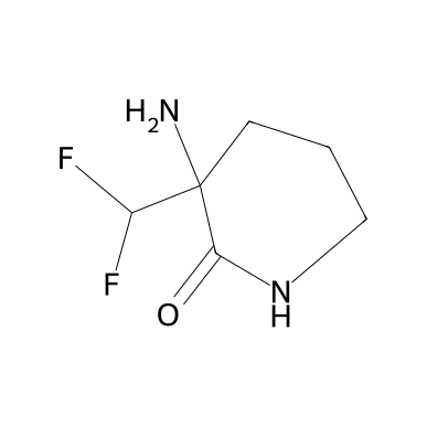 NC1(C(F)F)CCCNC1=O